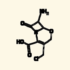 NC1C(=O)N2C(C(=O)O)=C(CCl)COC12